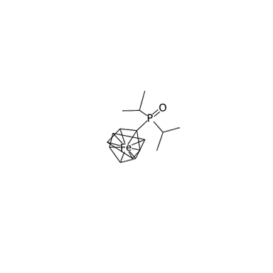 CC(C)P(=O)(C(C)C)[C]12[CH]3[CH]4[CH]5[CH]1[Fe]45321678[CH]2[CH]1[CH]6[CH]7[CH]28